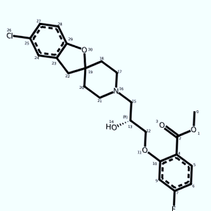 COC(=O)c1ccc(F)cc1OC[C@H](O)CN1CCC2(CC1)Cc1cc(Cl)ccc1O2